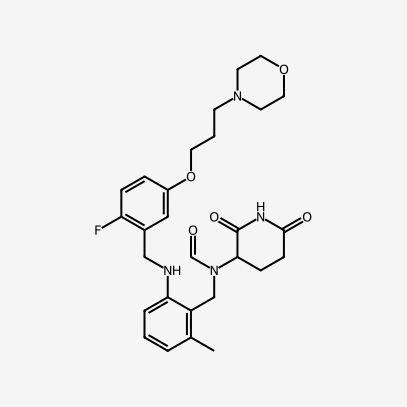 Cc1cccc(NCc2cc(OCCCN3CCOCC3)ccc2F)c1CN(C=O)C1CCC(=O)NC1=O